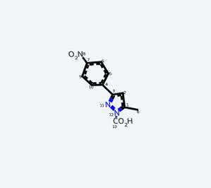 Cc1cc(-c2ccc([N+](=O)[O-])cc2)nn1C(=O)O